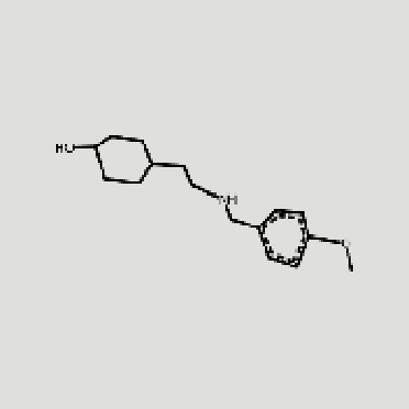 COc1ccc(CNCCC2CCC(O)CC2)cc1